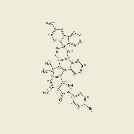 COc1ccc(C2(c3ccccc3)C=Cc3c4c(c5ccccc5c3O2)-c2c(cc(C)c3c(=O)n(-c5ccc(Br)cc5)[nH]c23)C4(C)C)cc1